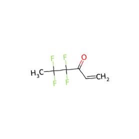 C=CC(=O)C(F)(F)C(C)(F)F